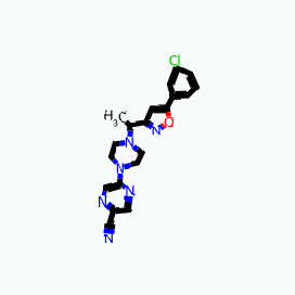 CC(c1cc(-c2cccc(Cl)c2)on1)N1CCN(c2cnc(C#N)cn2)CC1